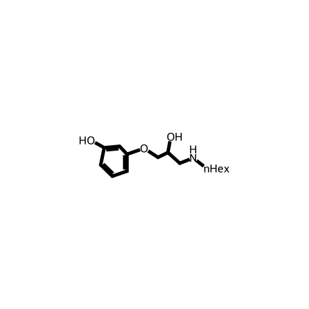 [CH2]CCCCCNCC(O)COc1cccc(O)c1